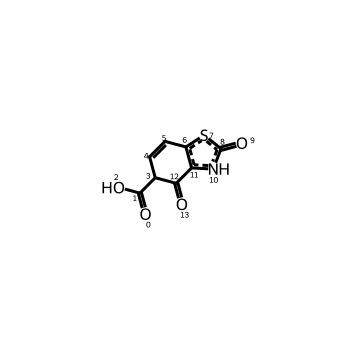 O=C(O)C1C=Cc2sc(=O)[nH]c2C1=O